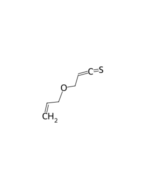 C=CCOCC=C=S